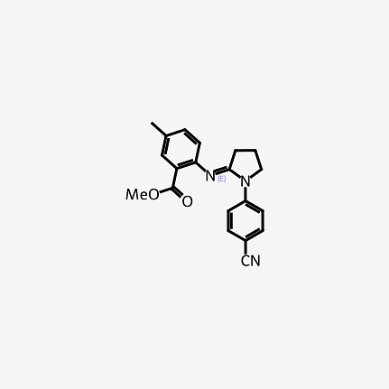 COC(=O)c1cc(C)ccc1/N=C1\CCCN1c1ccc(C#N)cc1